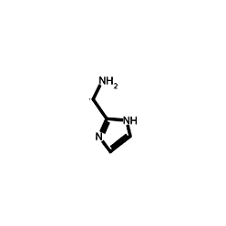 N[CH]c1ncc[nH]1